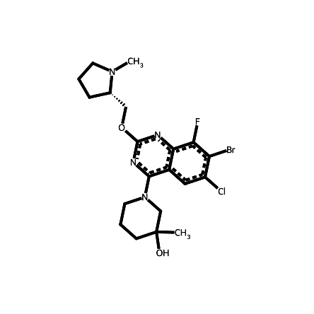 CN1CCC[C@H]1COc1nc(N2CCCC(C)(O)C2)c2cc(Cl)c(Br)c(F)c2n1